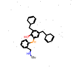 CC(C)(C)NCc1ccccc1Pc1cc(CC2C=CC=CC2)cc(CC2C=CC=CC2)c1O